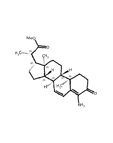 COC(=O)[C@@H](C)[C@H]1CC[C@H]2[C@@H]3C=CC4=C(N)C(=O)CC[C@]4(C)[C@H]3CC[C@]12C